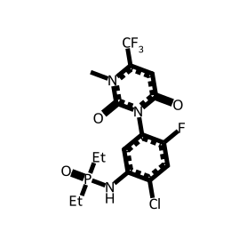 CCP(=O)(CC)Nc1cc(-n2c(=O)cc(C(F)(F)F)n(C)c2=O)c(F)cc1Cl